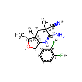 C[C@H]1OC[C@]2(c3cccc(F)c3F)N=C(N)[C@@](C)(C#N)C[C@H]12